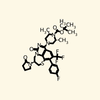 C[C@@H]1CN(c2nc(=O)n3c4c(c(-c5ccc(F)cc5)c(C(F)(F)F)cc24)SC[C@@H](N2CCCC2=O)C3)C[C@H](C)N1C(=O)OC(C)(C)C